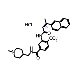 C/C(=C/C(=O)Nc1cc(C(=O)NCC2CCN(C)CC2)ccc1C(=O)O)c1ccc2ccccc2c1.Cl